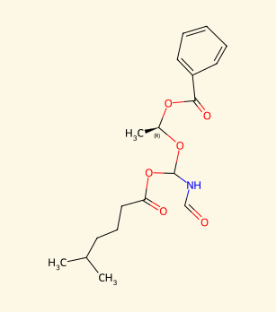 CC(C)CCCC(=O)OC(NC=O)O[C@@H](C)OC(=O)c1ccccc1